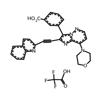 O=C(O)C(F)(F)F.O=C(O)c1cccc(-c2c(C#Cc3ccc4ccccc4n3)nc3c(N4CCOCC4)ccnn23)c1